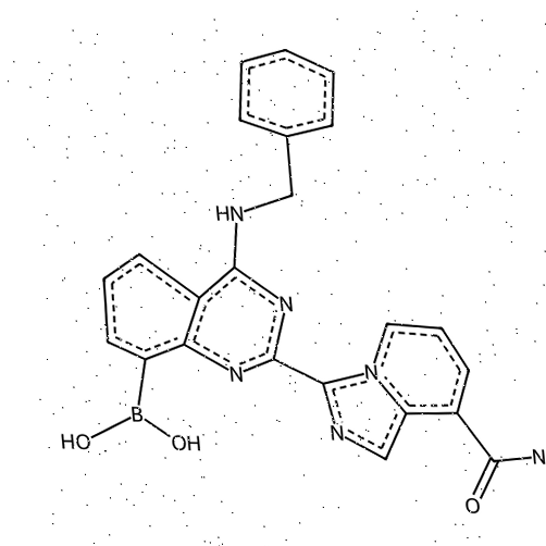 NC(=O)c1cccn2c(-c3nc(NCc4ccccc4)c4cccc(B(O)O)c4n3)ncc12